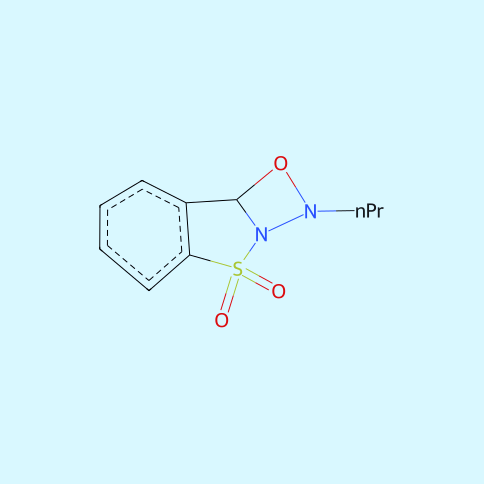 CCCN1OC2c3ccccc3S(=O)(=O)N21